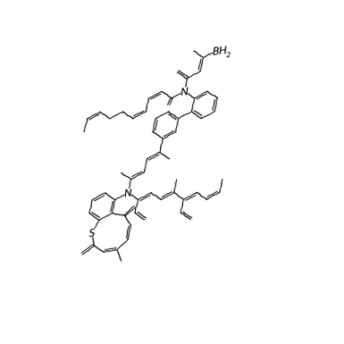 B/C(C)=C/C(=C)N(C(=C)/C=C\C=C/CC/C=C\C)c1ccccc1-c1cccc(/C(C)=C/C=C(\C)N(/C(C=C)=C/C=C(C)/C(C=C)=C/C=C\C)c2cccc3sc(=C)cc(C)ccc(=C)c23)c1